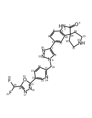 O=C1Nc2ccc(-c3cn(Cc4ccc(-c5nnc(C(F)F)o5)cn4)nn3)cc2C12CCNCC2